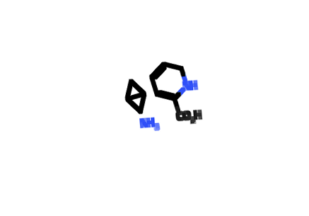 C1C2CC12.N.O=C(O)C1=CC=CCN1